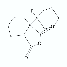 O=C1OC(=O)C2(C3(F)CCCCC3)CCCCC12